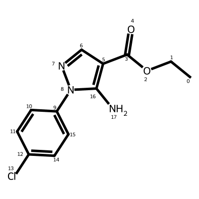 CCOC(=O)c1cnn(-c2ccc(Cl)cc2)c1N